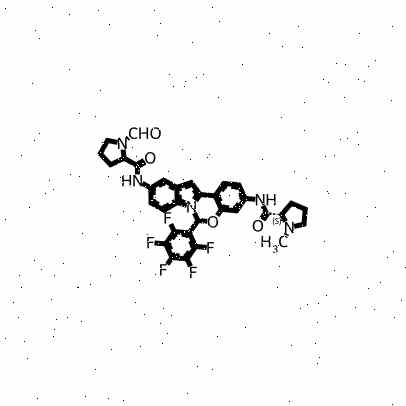 CN1CCC[C@H]1C(=O)Nc1ccc2c(c1)OC(c1c(F)c(F)c(F)c(F)c1F)n1c-2cc2cc(NC(=O)C3CCCN3C=O)ccc21